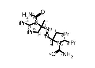 CC(C)CN(C(N)=O)C(C)(CC(C)C)/N=N/C(C)(CC(C)C)N(CC(C)C)C(N)=O